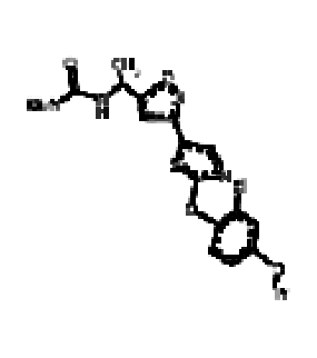 CNC(=O)NC(C)c1cc(-c2cnc(Oc3ccc(OC(C)C)cc3Cl)s2)no1